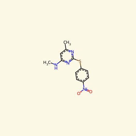 CNc1cc(C)nc(Sc2ccc([N+](=O)[O-])cc2)n1